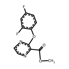 COC(=O)c1nccnc1Oc1ccc(F)cc1F